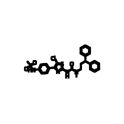 CN(CCC(c1ccccc1)c1ccccc1)C(=O)Nc1nc(-c2ccc(NS(C)(=O)=O)cc2)c(Cl)s1